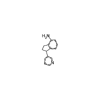 Nc1cccc2c1CCC2c1cccnc1